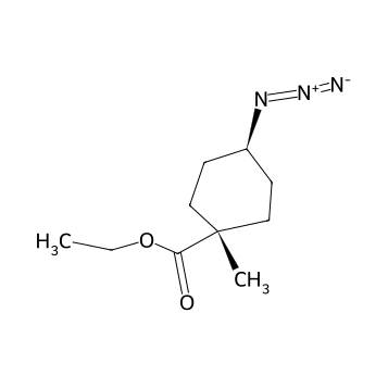 CCOC(=O)[C@]1(C)CC[C@@H](N=[N+]=[N-])CC1